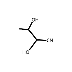 CC(O)C(O)C#N